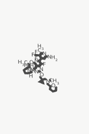 Cc1nc(N)cc(-c2nc3c4c(nc(OCC5(CN(C)CC6CCCCO6)CC5)nc4c2F)N2C[C@H]4CC[C@H](N4)[C@H]2[C@H](C)O3)c1C(F)(F)F